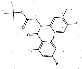 Cc1cc(N(CC(=O)OC(C)(C)C)C(=O)c2c(F)cc(F)cc2F)ccc1F